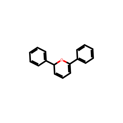 C1=CC(c2ccccc2)OC(c2ccccc2)=C1